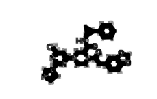 O=C(NC1CC1c1ccccc1)C1CN(c2cc(Cl)nc(-n3ccnc3)n2)CCN1C(=O)Cc1ccc2c(c1)OCO2